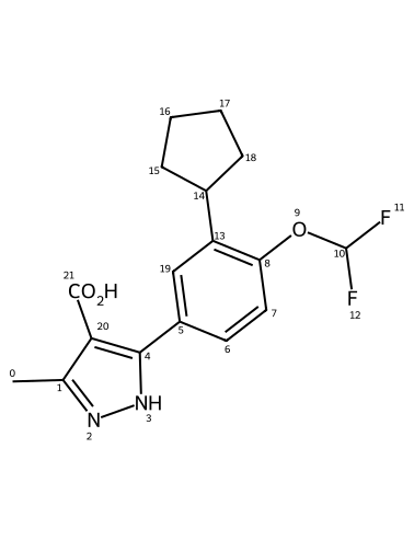 Cc1n[nH]c(-c2ccc(OC(F)F)c(C3CCCC3)c2)c1C(=O)O